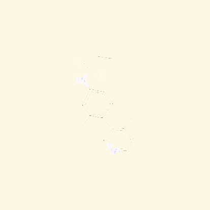 Cc1cc(NS(=O)(=O)CC(F)(F)F)ccc1-c1cnccc1C